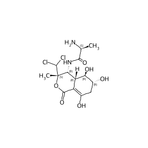 C[C@H](N)C(=O)N[C@@H]1[C@H]2C(=C(O)C[C@@H](O)[C@@H]2O)C(=O)O[C@]1(C)C(Cl)Cl